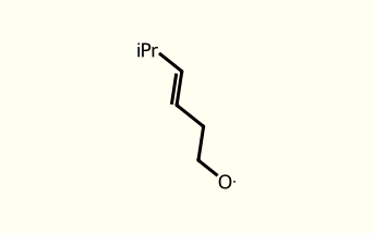 CC(C)C=CCC[O]